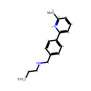 CCOC(=O)CCNCc1ccc(-c2cccc(OC)n2)cc1